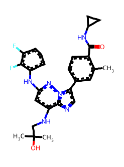 Cc1cc(-c2cnc3c(NCC(C)(C)O)cc(Nc4cccc(F)c4F)nn23)ccc1C(=O)NC1CC1